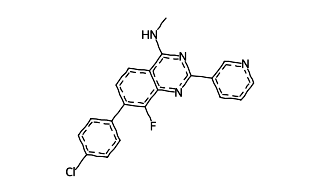 CNc1nc(-c2cccnc2)nc2c(F)c(-c3ccc(Cl)cc3)ccc12